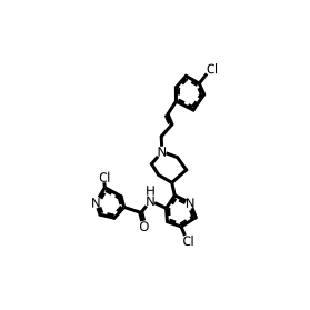 O=C(Nc1cc(Cl)cnc1C1CCN(CC=Cc2ccc(Cl)cc2)CC1)c1ccnc(Cl)c1